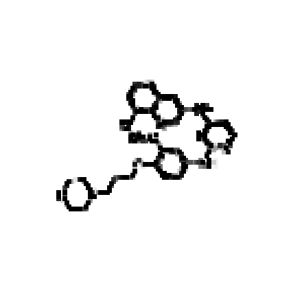 COc1cc(Nc2nccc(Nc3cnc4c(Cl)cccc4c3)n2)ccc1OCCCN1CCOCC1